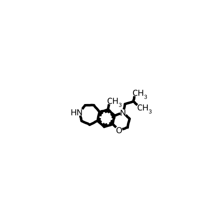 Cc1c2c(cc3c1N(CC(C)C)CCO3)CCNCC2